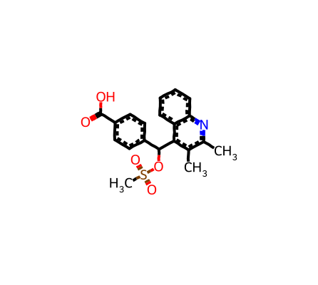 Cc1nc2ccccc2c(C(OS(C)(=O)=O)c2ccc(C(=O)O)cc2)c1C